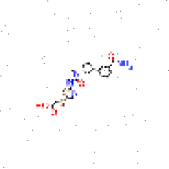 CN(C(=O)Nc1ncc(SCC(=O)O)s1)C1CCC(c2cccc(C(N)=O)c2)C1